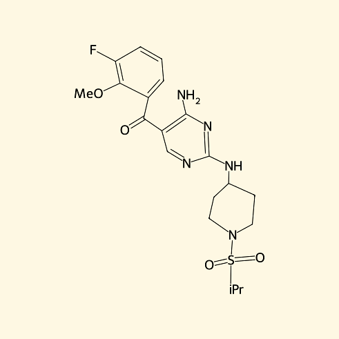 COc1c(F)cccc1C(=O)c1cnc(NC2CCN(S(=O)(=O)C(C)C)CC2)nc1N